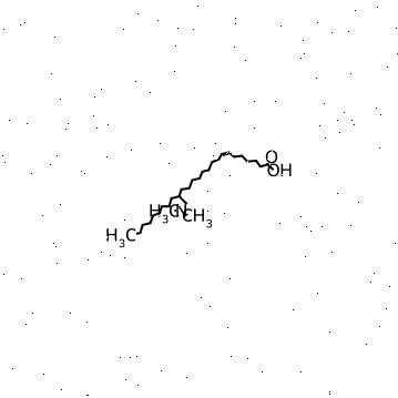 CCCCCCCCCC(CCCCCCCC/C=C\CCCCCC(=O)O)CN(C)C